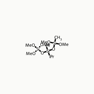 CO[Si](C)(OC)O[Si](O[Si](OC)(OC)OC)(C(C)C)C(C)C